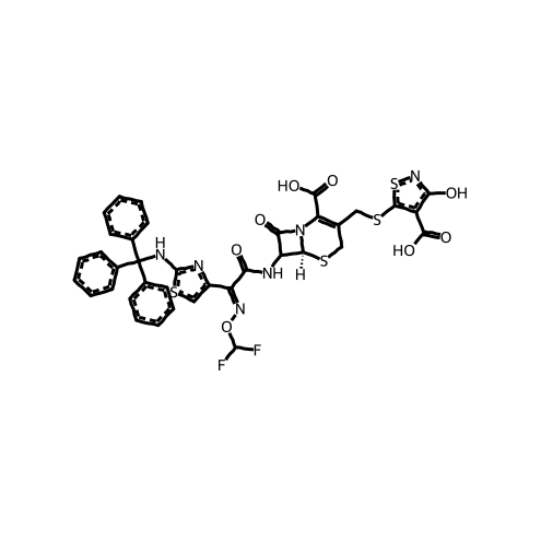 O=C(O)C1=C(CSc2snc(O)c2C(=O)O)CS[C@H]2C(NC(=O)C(=NOC(F)F)c3csc(NC(c4ccccc4)(c4ccccc4)c4ccccc4)n3)C(=O)N12